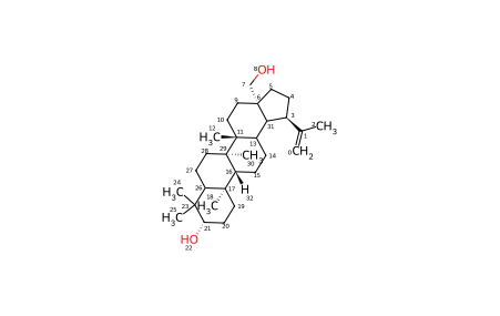 C=C(C)[C@@H]1CC[C@]2(CO)CC[C@]3(C)C(CC[C@@H]4[C@@]5(C)CC[C@H](O)C(C)(C)C5CC[C@]43C)C12